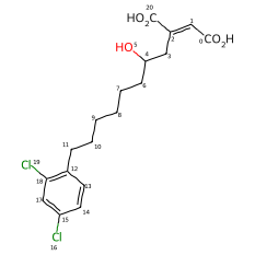 O=C(O)/C=C(\CC(O)CCCCCCc1ccc(Cl)cc1Cl)C(=O)O